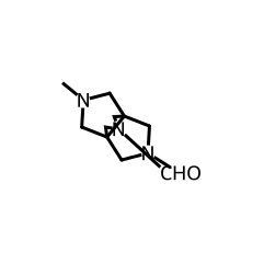 CN1CC23CN(C)CC2(C1)CN(C=O)C3